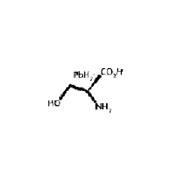 N[C@@H](CO)C(=O)O.[PbH2]